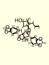 C=CCC1=C(C)C(O)CC1=O.c1cc2c(cc1[C@H]1OC[C@H]3[C@@H]1CO[C@@H]3c1ccc3c(c1)OCO3)OCO2